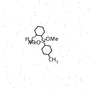 CO[Si](OC)(C1CCC(C)CC1)C1CCCCC1C